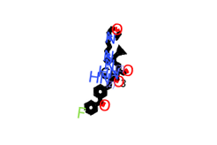 CN/C(=C\c1cccc(C(=O)c2ccc(F)cc2)c1)C(=O)N/C(C=O)=C\c1ncn(CCCN2CCOCC2)c1C1CC1